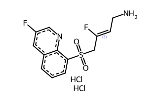 Cl.Cl.NC/C=C(\F)CS(=O)(=O)c1cccc2cc(F)cnc12